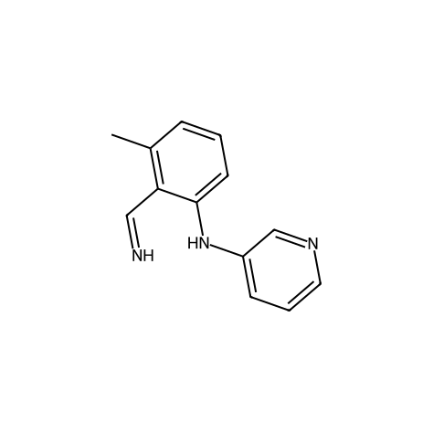 Cc1cccc(Nc2cccnc2)c1C=N